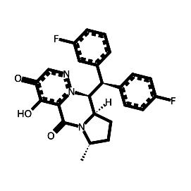 C[C@H]1CC[C@@H]2[C@H]([C@H](c3ccc(F)cc3)c3cccc(F)c3)n3ncc(=O)c(O)c3C(=O)N21